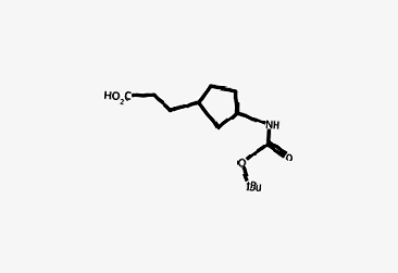 CC(C)(C)OC(=O)NC1CCC(CCC(=O)O)C1